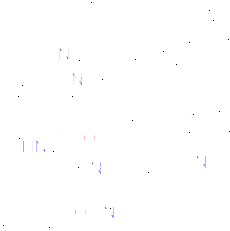 C[C@H](NC(=O)c1ccnn1Cc1ccccc1)c1nc(-c2ccnc(C3CC3)c2)no1